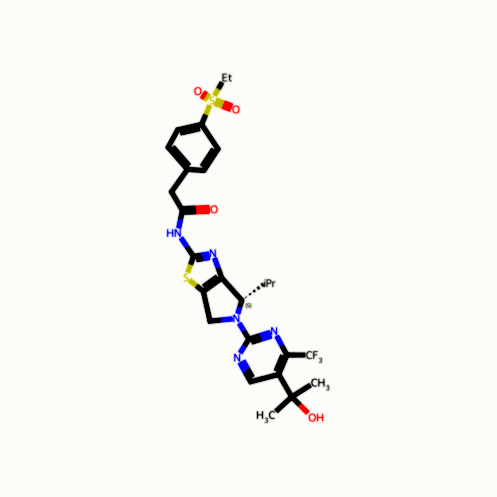 CCS(=O)(=O)c1ccc(CC(=O)Nc2nc3c(s2)CN(c2ncc(C(C)(C)O)c(C(F)(F)F)n2)[C@H]3C(C)C)cc1